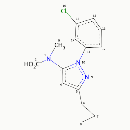 CN(C(=O)O)c1cc(C2CC2)nn1-c1cccc(Cl)c1